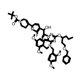 CCCC(CCOCc1ccccc1)Oc1nc(N(Cc2ccc(OC)cc2OC)Cc2ccc(OC)cc2OC)c2ncc(C(O)c3ccc(C4=CCN(C(=O)OC(C)(C)C)CC4)nc3F)n2n1